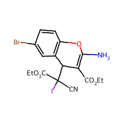 CCOC(=O)C1=C(N)Oc2ccc(Br)cc2C1C(I)(C#N)C(=O)OCC